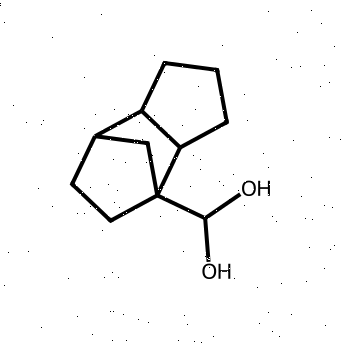 OC(O)C12CCC(C1)C1CCCC12